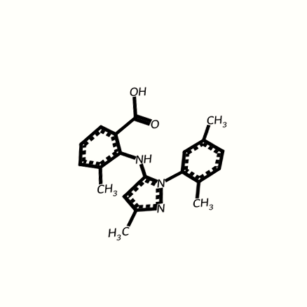 Cc1ccc(C)c(-n2nc(C)cc2Nc2c(C)cccc2C(=O)O)c1